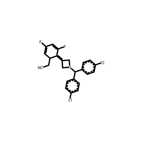 N#CCC1C=C(F)C=C(F)C1=C1CN(C(c2ccc(Cl)cc2)c2ccc(Cl)cc2)C1